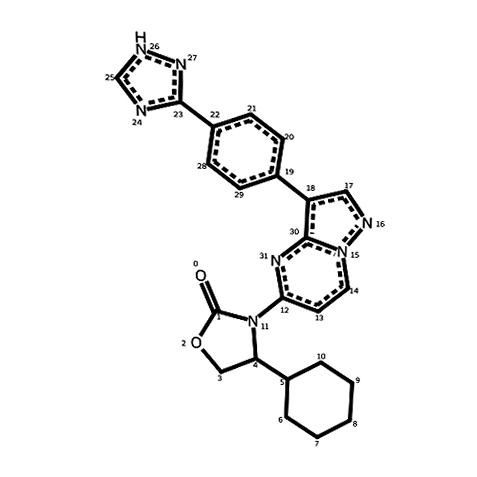 O=C1OCC(C2CCCCC2)N1c1ccn2ncc(-c3ccc(-c4nc[nH]n4)cc3)c2n1